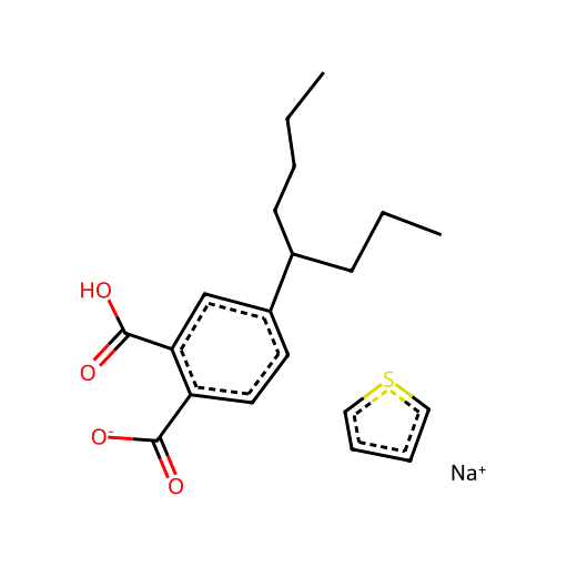 CCCCC(CCC)c1ccc(C(=O)[O-])c(C(=O)O)c1.[Na+].c1ccsc1